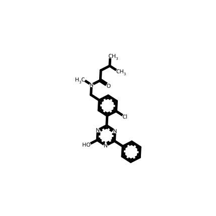 CC(C)CC(=O)N(C)Cc1ccc(Cl)c(-c2nc(O)nc(-c3ccccc3)n2)c1